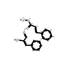 CC(C=O)=Cc1ccccc1.COC(=O)C=Cc1ccccc1